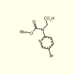 CC(C)(C)OC(=O)N(CC(=O)O)c1ccc(Br)cn1